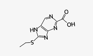 CCSc1nc2nc(C(=O)O)ncc2[nH]1